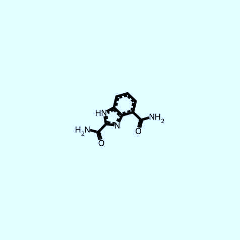 NC(=O)c1nc2c(C(N)=O)cccc2[nH]1